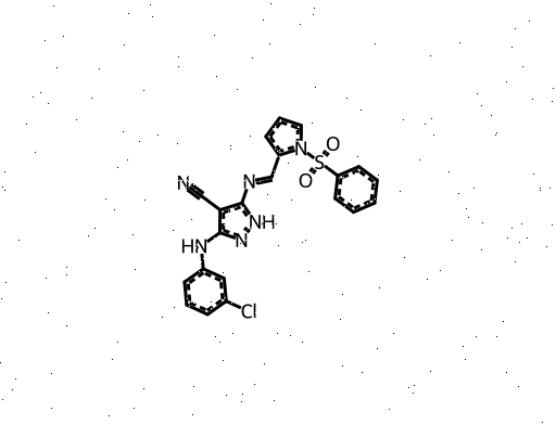 N#Cc1c(Nc2cccc(Cl)c2)n[nH]c1/N=C/c1cccn1S(=O)(=O)c1ccccc1